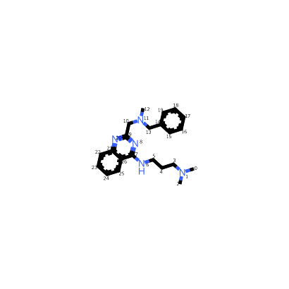 CN(C)CCCNc1nc(CN(C)Cc2ccccc2)nc2ccccc12